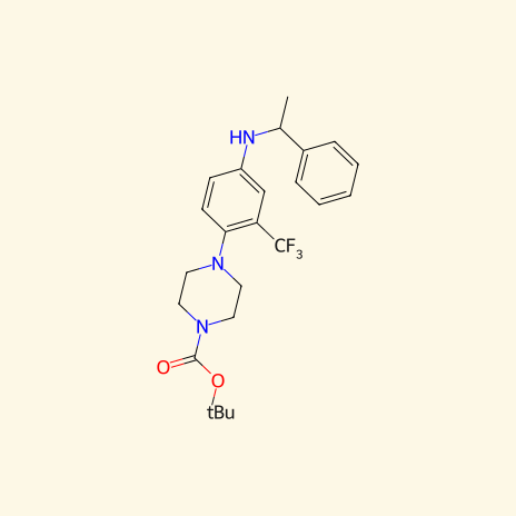 CC(Nc1ccc(N2CCN(C(=O)OC(C)(C)C)CC2)c(C(F)(F)F)c1)c1ccccc1